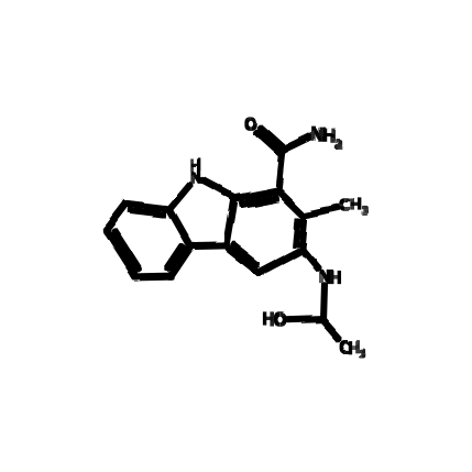 Cc1c(NC(C)O)cc2c([nH]c3ccccc32)c1C(N)=O